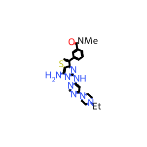 CCN1CCN(c2cc(Nc3nc(N)c4scc(-c5cccc(C(=O)NC)c5)c4n3)ncn2)CC1